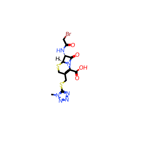 Cn1nnnc1SCC1=C(C(=O)O)N2C(=O)[C@@H](NC(=O)CBr)[C@@H]2SC1